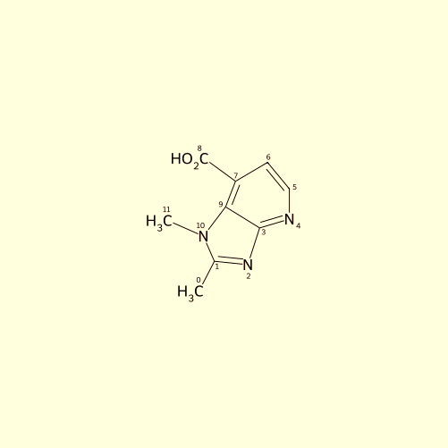 Cc1nc2nccc(C(=O)O)c2n1C